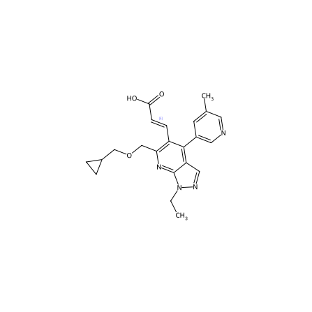 CCn1ncc2c(-c3cncc(C)c3)c(/C=C/C(=O)O)c(COCC3CC3)nc21